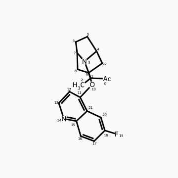 CC(=O)C(C)N1C2CCC1CC(Oc1ccnc3ccc(F)cc13)C2